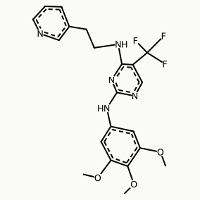 COc1cc(Nc2ncc(C(F)(F)F)c(NCCc3cccnc3)n2)cc(OC)c1OC